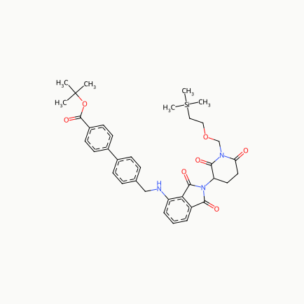 CC(C)(C)OC(=O)c1ccc(-c2ccc(CNc3cccc4c3C(=O)N(C3CCC(=O)N(COCC[Si](C)(C)C)C3=O)C4=O)cc2)cc1